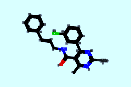 CSc1nc(C)c(C(=O)NCC=Cc2ccccc2)c(-c2cccc(Cl)c2)n1